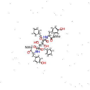 CNC(=O)[C@H](Cc1ccc(O)cc1)NC(=O)[C@H](OCc1ccccc1)[C@H](O)[C@@H](O)[C@@H](OCc1ccccc1)C(=O)N[C@@H](Cc1ccc(O)cc1)C(=O)NC